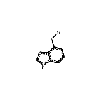 CCSc1cccc2[nH]cnc12